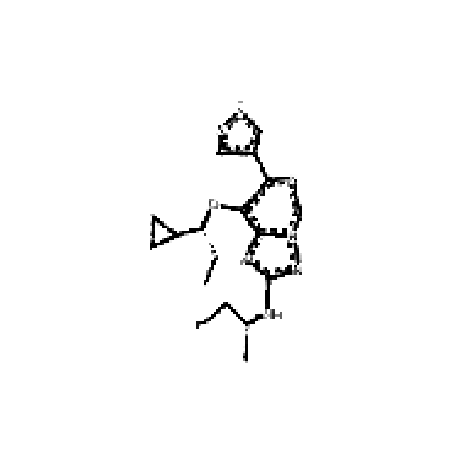 CC[C@@H](Oc1c(-c2cn[nH]c2)ncn2nc(N[C@@H](C)CF)nc12)C1CC1